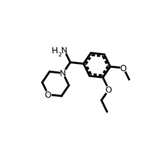 CCOc1cc(C(N)N2CCOCC2)ccc1OC